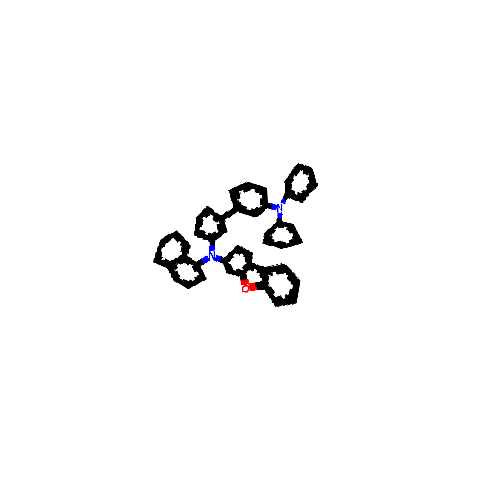 c1ccc(N(c2ccccc2)c2cccc(-c3cccc(N(c4ccc5c(c4)oc4ccccc45)c4cccc5ccccc45)c3)c2)cc1